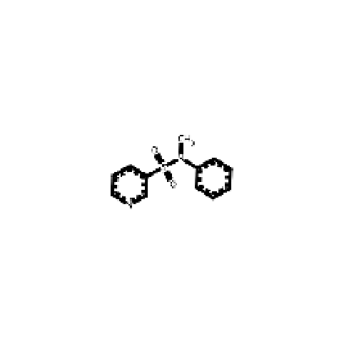 CN(c1c[c]ccc1)S(=O)(=O)c1cccnc1